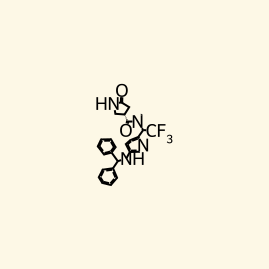 CN(C(=O)[C@@H]1CNC(=O)C1)C(c1ccc(NC(c2ccccc2)c2ccccc2)cn1)C(F)(F)F